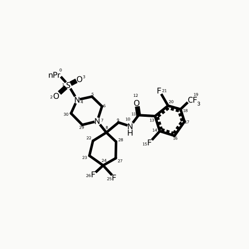 CCCS(=O)(=O)N1CCN(C2(CNC(=O)c3c(F)ccc(C(F)(F)F)c3F)CCC(F)(F)CC2)CC1